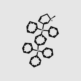 C[C@H]1C=C([Si](c2ccccc2)(c2ccccc2)c2ccc([Si](c3ccccc3)(c3ccccc3)c3ccccc3)cc2)C=CC1